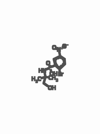 CC(C)(CO)NP(=O)(O)c1cc([N+](=O)[O-])ccc1Br